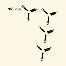 [Cr+3].[Nb+5].[O]=[Ti]([O-])[O-].[O]=[Ti]([O-])[O-].[O]=[Ti]([O-])[O-].[O]=[Ti]([O-])[O-]